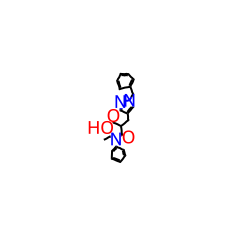 CCN(C(=O)C(Cc1cnn(Cc2ccccc2)c1)C(=O)O)c1ccccc1